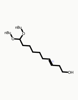 CCCCOC(CCCCC/C=C/CCO)OCCCC